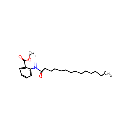 CCCCCCCCCCCCCC(=O)Nc1ccccc1C(=O)OC